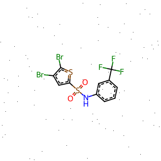 O=S(=O)(Nc1cccc(C(F)(F)F)c1)c1cc(Br)c(Br)s1